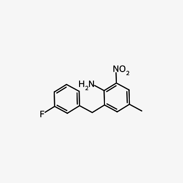 Cc1cc(Cc2cccc(F)c2)c(N)c([N+](=O)[O-])c1